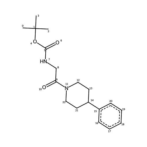 CC(C)(C)OC(=O)NCC(=O)N1CCC(c2ccccc2)CC1